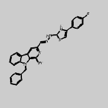 CC(C)c1nc(/C=N/NC2NC(c3ccc(F)cc3)=CS2)cc2c3ccccc3n(Cc3ccccc3)c12